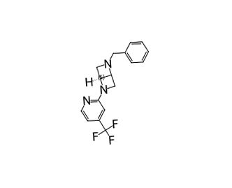 FC(F)(F)c1ccnc(N2CC3[C@@H]2CN3Cc2ccccc2)c1